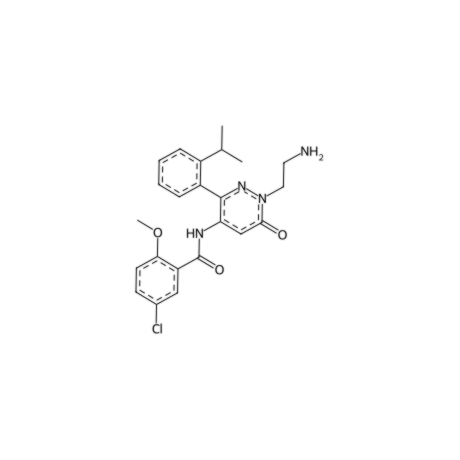 COc1ccc(Cl)cc1C(=O)Nc1cc(=O)n(CCN)nc1-c1ccccc1C(C)C